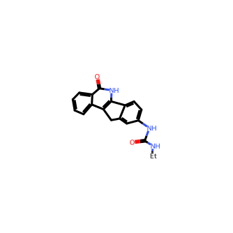 CCNC(=O)Nc1ccc2c(c1)Cc1c-2[nH]c(=O)c2ccccc12